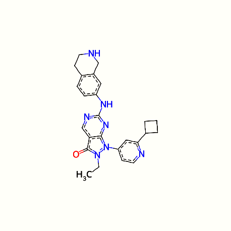 CCn1c(=O)c2cnc(Nc3ccc4c(c3)CNCC4)nc2n1-c1ccnc(C2CCC2)c1